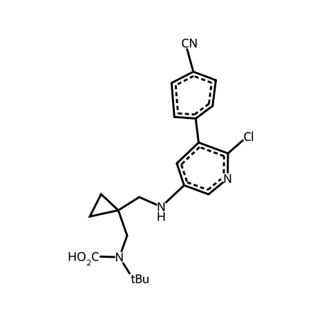 CC(C)(C)N(CC1(CNc2cnc(Cl)c(-c3ccc(C#N)cc3)c2)CC1)C(=O)O